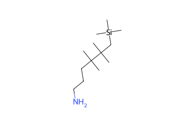 CC(C)(CCCN)C(C)(C)C[Si](C)(C)C